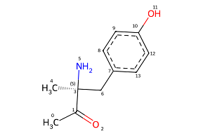 CC(=O)[C@@](C)(N)Cc1ccc(O)cc1